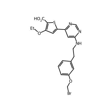 CCOc1cc(-c2cc(NCCc3cccc(OCBr)c3)ncn2)sc1C(=O)O